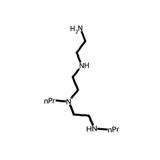 CCCNCCN(CCC)CCNCCN